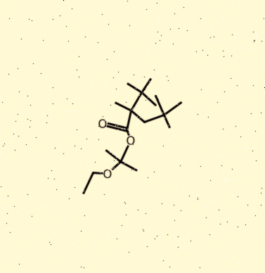 CCOC(C)(C)OC(=O)C(C)(CC(C)(C)C)C(C)(C)C